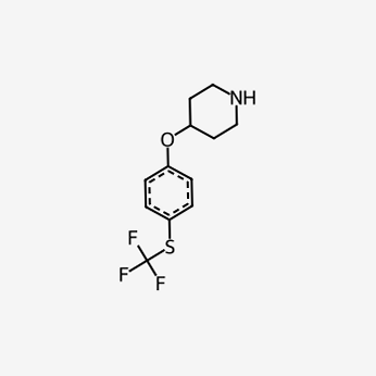 FC(F)(F)Sc1ccc(OC2CCNCC2)cc1